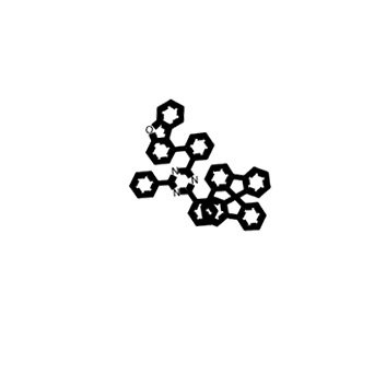 c1ccc(-c2nc(-c3ccccc3-c3cccc4c3C3(c5ccccc5-c5ccccc53)c3ccccc3-4)nc(-c3ccccc3-c3cccc4oc5ccccc5c34)n2)cc1